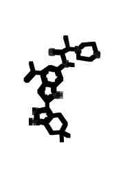 C=C(C)c1cc(N(C)C(=O)[C@@H](C)N2CCOCC2)cc2[nH]c(-c3n[nH]c4c3CCC(C)(C)C4)cc12